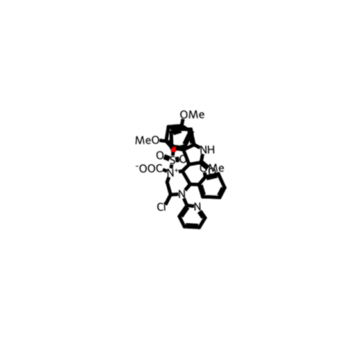 COc1ccc(S(=O)(=O)[N+]2(C(=O)[O-])CC(Cl)N(c3ccccn3)C(c3ccccc3OC)C2C2C(=O)Nc3ccccc32)c(OC)c1